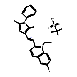 CC[n+]1c(/C=C/c2cc(C)n(-c3ccccc3)c2C)ccc2cc(Br)ccc21.O=S(=O)([O-])C(F)(F)F